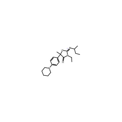 CCC(C)/N=C1/OC(C)(c2ccc(N3CCCCC3)cc2)C(=O)N1CC